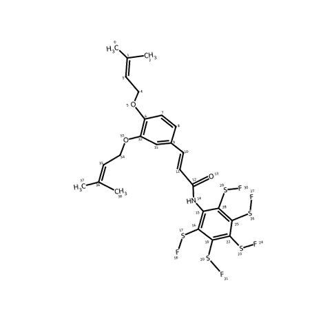 CC(C)=CCOc1ccc(C=CC(=O)Nc2c(SF)c(SF)c(SF)c(SF)c2SF)cc1OCC=C(C)C